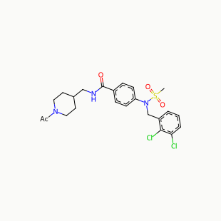 CC(=O)N1CCC(CNC(=O)c2ccc(N(Cc3cccc(Cl)c3Cl)S(C)(=O)=O)cc2)CC1